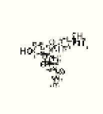 CN(C)c1ccc(C(=O)N[C@@H](Cc2ccc(O)cc2)C(=O)N2CCC3[C@H]2C(=O)CN3C(=O)c2cccs2)cc1